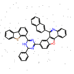 c1ccc(C2N=C(c3ccc4oc5c6ccccc6nc(-c6ccc7ccccc7c6)c5c4c3)N=C(c3cccc4c3sc3ccccc34)N2)cc1